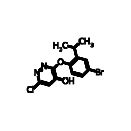 CC(C)c1cc(Br)ccc1Oc1nnc(Cl)cc1O